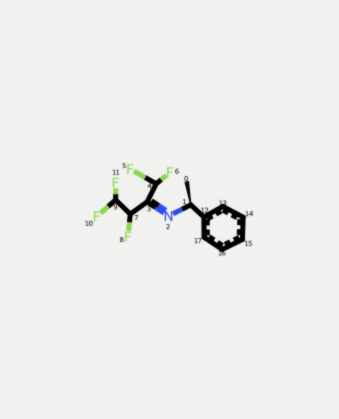 C[C@H](N=C(C(F)F)C(F)C(F)F)c1ccccc1